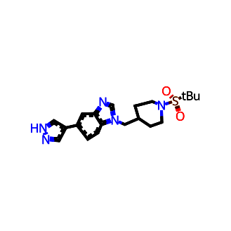 CC(C)(C)S(=O)(=O)N1CCC(Cn2cnc3cc(-c4cn[nH]c4)ccc32)CC1